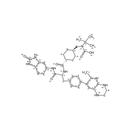 Cc1nc2c(cc1-c1ccc(CC(NC(=O)[C@H]3CC[C@H](CN(C(=O)O)C(C)(C)C)CC3)C(=O)Nc3ccc4[nH]c(=O)[nH]c4c3)cc1)NCCN2